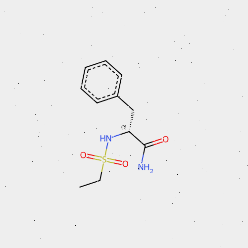 CCS(=O)(=O)N[C@H](Cc1ccccc1)C(N)=O